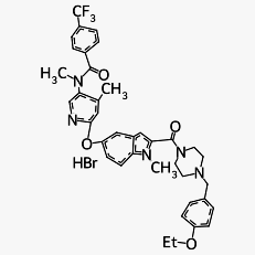 Br.CCOc1ccc(CN2CCN(C(=O)c3cc4cc(Oc5cc(C)c(N(C)C(=O)c6ccc(C(F)(F)F)cc6)cn5)ccc4n3C)CC2)cc1